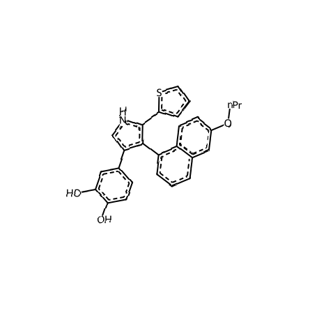 CCCOc1ccc2c(-c3c(-c4ccc(O)c(O)c4)c[nH]c3-c3cccs3)cccc2c1